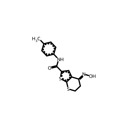 Cc1ccc(NC(=O)c2cc3c(s2)SCCC3=NO)cc1